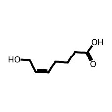 O=C(O)CCC/C=C\CO